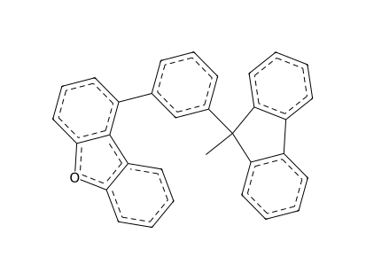 CC1(c2cccc(-c3cccc4oc5ccccc5c34)c2)c2ccccc2-c2ccccc21